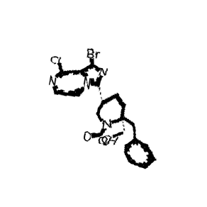 COC[C@@]1(Cc2ccccc2)CC[C@@H](c2nc(Br)c3c(Cl)nccn23)CN1C(=O)O